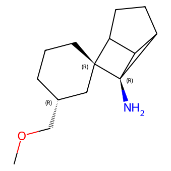 COC[C@@H]1CCC[C@@]2(C1)C1CCC3C1[C@]32N